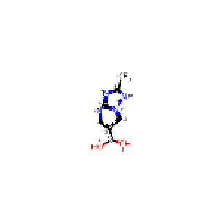 OB(O)c1cnc2nc(C(F)(F)F)nn2c1